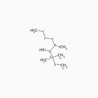 CCCCC(C)C(S)C(C)(C)CC